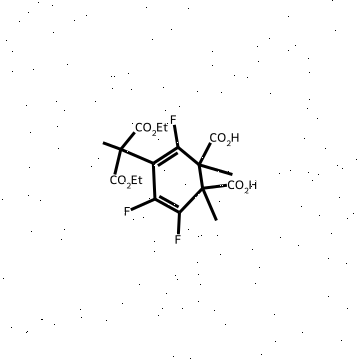 CCOC(=O)C(C)(C(=O)OCC)C1=C(F)C(C)(C(=O)O)C(C)(C(=O)O)C(F)=C1F